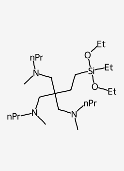 CCCN(C)CC(CC[Si](CC)(OCC)OCC)(CN(C)CCC)CN(C)CCC